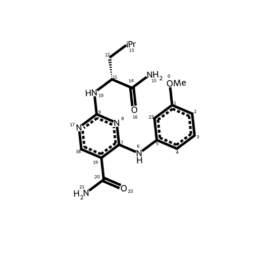 COc1cccc(Nc2nc(N[C@H](CC(C)C)C(N)=O)ncc2C(N)=O)c1